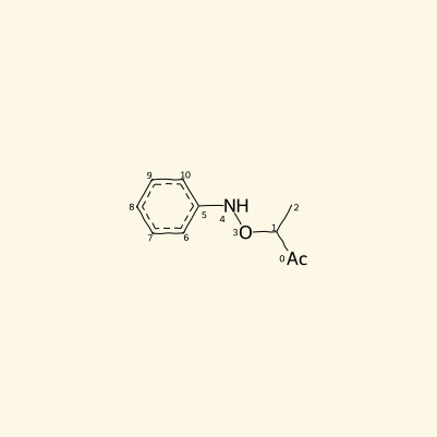 CC(=O)C(C)ONc1ccccc1